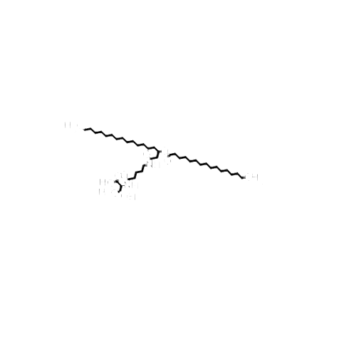 CCCCCCCCCCCCCCCC(=O)OC(CCCCCCCCCCCCCCC)CC(=O)NCCCCC(=O)N[C@H](C(=O)O)C(C)O